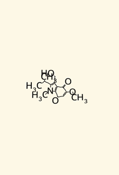 COC1=CC(=O)c2c(c(CO)c(C(C)C)n2C)C1=O